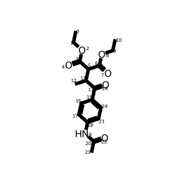 CCOC(=O)C(C(=O)OCC)C(C)C(=O)c1ccc(NC(C)=O)cc1